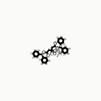 O=C(CC(O)(CC(=O)O[I+](c1ccccc1)c1ccccc1)C(=O)O)O[I+](c1ccccc1)c1ccccc1